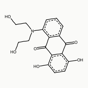 O=C1c2cccc(N(CCO)CCO)c2C(=O)c2c(O)ccc(O)c21